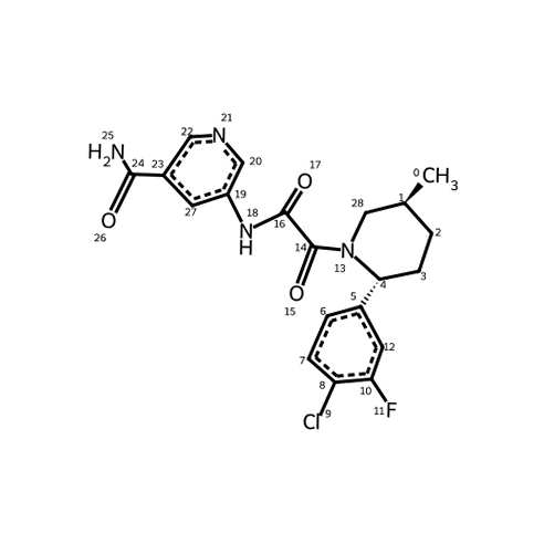 C[C@H]1CC[C@H](c2ccc(Cl)c(F)c2)N(C(=O)C(=O)Nc2cncc(C(N)=O)c2)C1